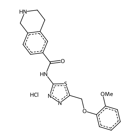 COc1ccccc1OCc1nnc(NC(=O)c2ccc3c(c2)CCNC3)s1.Cl